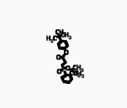 CC(C)(C)OP(=O)(CCC(=O)Oc1ccc(C(C)(C)C)cc1)c1ccccc1